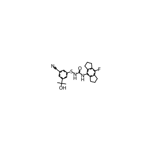 CC(C)(O)c1cc(C#N)cc(SNC(=O)Nc2c3c(c(F)c4c2CCC4)CCC3)c1